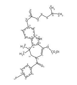 CCOC(=O)OC1=CN(C(=O)c2ccc(F)cc2)CC(C)(C)c2c1[nH]c1cc(OC(=O)OCCN(C)C)ccc21